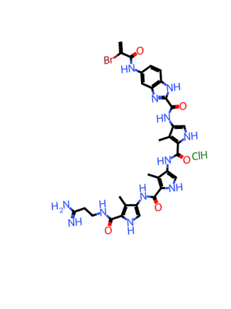 C=C(Br)C(=O)Nc1ccc2[nH]c(C(=O)Nc3c[nH]c(C(=O)Nc4c[nH]c(C(=O)Nc5c[nH]c(C(=O)NCCC(=N)N)c5C)c4C)c3C)nc2c1.Cl